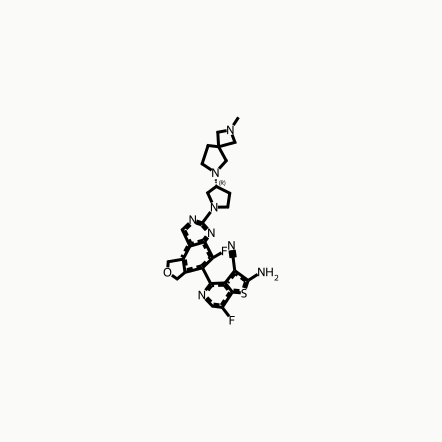 CN1CC2(CCN([C@@H]3CCN(c4ncc5c6c(c(-c7ncc(F)c8sc(N)c(C#N)c78)c(F)c5n4)COC6)C3)C2)C1